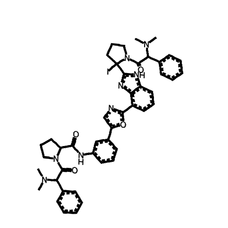 CN(C)C(C(=O)N1CCCC1C(=O)Nc1cccc(-c2cnc(-c3cccc4[nH]c(C5(I)CCCN5C(=O)C(c5ccccc5)N(C)C)nc34)o2)c1)c1ccccc1